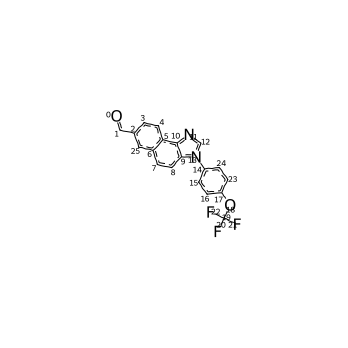 O=Cc1ccc2c(ccc3c2ncn3-c2ccc(OC(F)(F)F)cc2)c1